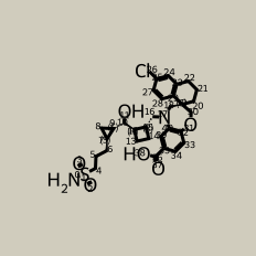 NS(=O)(=O)CCC[C@H]1C[C@@H]1C(O)[C@@H]1CC[C@H]1CN1C[C@@]2(CCCc3cc(Cl)ccc32)COc2ccc(C(=O)O)cc21